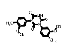 Cc1ccc(-n2c(=O)[nH]c(=O)n(-c3ccc(C)c(OC#N)c3)c2=O)cc1OC#N